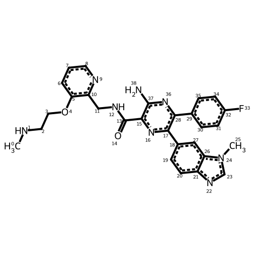 CNCCOc1cccnc1CNC(=O)c1nc(-c2ccc3ncn(C)c3c2)c(-c2ccc(F)cc2)nc1N